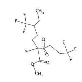 CCC(CCC(F)(C(=O)OC)S(=O)(=O)CCC(F)(F)F)C(F)(F)F